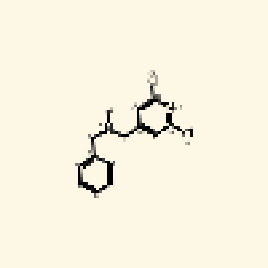 CN(Cc1ccccc1)Cc1cc(Cl)nc(Cl)c1